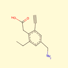 C#Cc1cc(CN)cc(CC)c1CC(=O)O